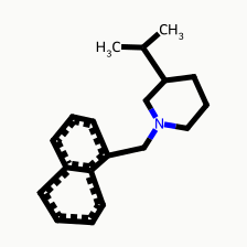 CC(C)C1CCCN(Cc2cccc3ccccc23)C1